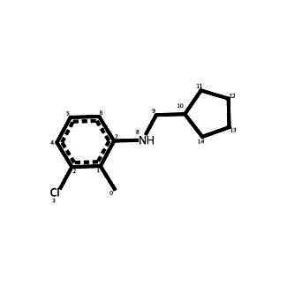 Cc1c(Cl)cccc1NCC1CCCC1